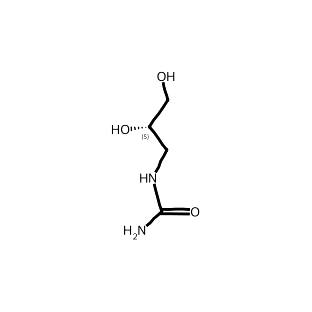 NC(=O)NC[C@H](O)CO